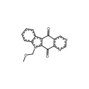 COCn1c2c(c3ccccc31)C(=O)c1cncnc1C2=O